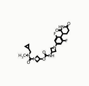 CN(CC1CC1)C(=O)N1CC(OC(=O)NC2CN(c3cc(F)c(C4CCC(=O)NC4=O)c(F)c3)C2)C1